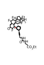 CCOC(=O)CCNC(=O)NCC#Cc1ccc([C@@H]2C3=C4C(=CC(=O)C(F)C4F)C(F)C(F)[C@H]3[C@@H]3CC[C@@](O)(CC)[C@@]3(C)C2F)cc1